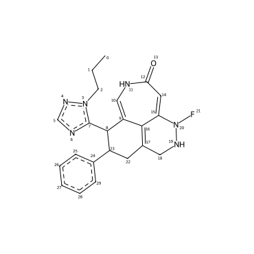 CCCn1ncnc1C1C2=CNC(=O)C=C3C2=C(CNN3F)CC1c1ccccc1